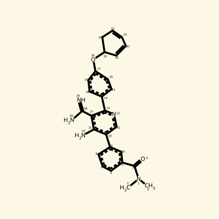 CN(C)C(=O)c1cccc(-c2cnc(-c3ccc(OC4C=CC=CC4)cc3)c(C(=N)N)c2N)c1